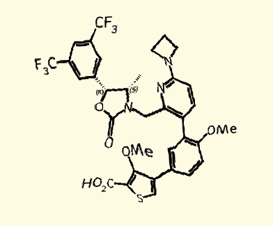 COc1ccc(-c2csc(C(=O)O)c2OC)cc1-c1ccc(N2CCC2)nc1CN1C(=O)O[C@H](c2cc(C(F)(F)F)cc(C(F)(F)F)c2)[C@@H]1C